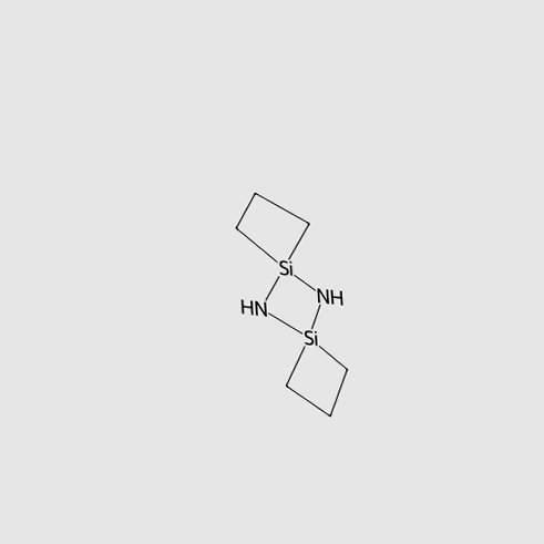 C1C[Si]2(C1)N[Si]1(CCC1)N2